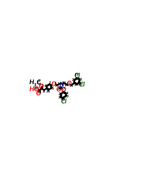 CCOC(Cc1ccc(OCCN(CCOCc2cc(Cl)cc(Cl)c2)C(=O)Oc2ccc(Cl)cc2)cc1)C(=O)O